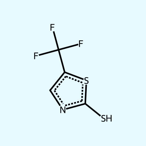 FC(F)(F)c1cnc(S)s1